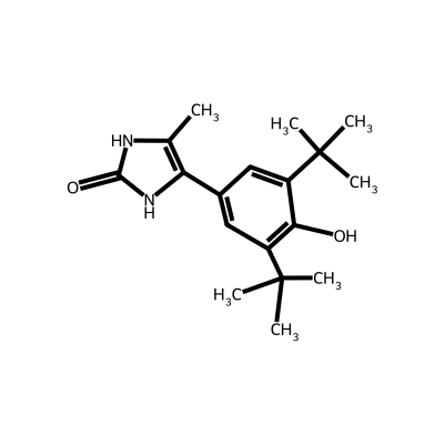 Cc1[nH]c(=O)[nH]c1-c1cc(C(C)(C)C)c(O)c(C(C)(C)C)c1